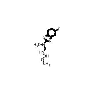 COBNCN(C)c1nc2cc(F)ccc2s1